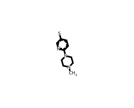 CN1CCN(c2ccc([S])cn2)CC1